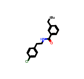 CC(C)(C)Cc1cccc(C(=O)NCCc2ccc(Cl)cc2)c1